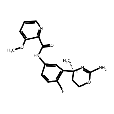 COc1cccnc1C(=O)Nc1ccc(F)c([C@]2(C)CCOC(N)=N2)c1